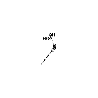 CCCCCCCCCCCCCCCCOCO[Si](C)(C)OCCCCCCN(CCO)CCO